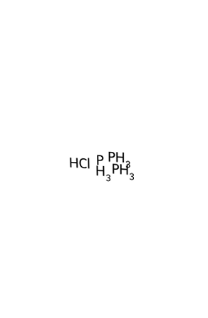 Cl.P.P.P